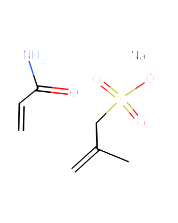 C=C(C)CS(=O)(=O)[O-].C=CC(N)=O.[Na+]